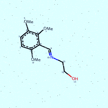 COc1ccc(OC)c(OC)c1C=NCCO